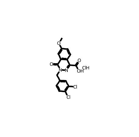 COc1ccc2c(C(=O)O)nn(Cc3ccc(Cl)c(Cl)c3)c(=O)c2c1.Cl